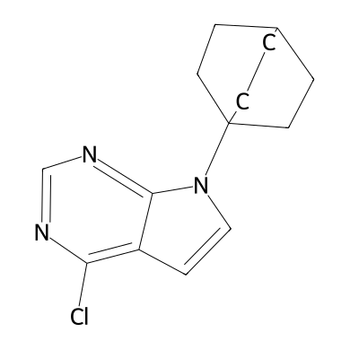 Clc1ncnc2c1ccn2C12CCC(CC1)CC2